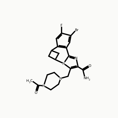 CC(=O)N1CCN(Cc2c(C(N)=O)nc3n2C2CC(C2)c2cc(F)c(Br)cc2-3)CC1